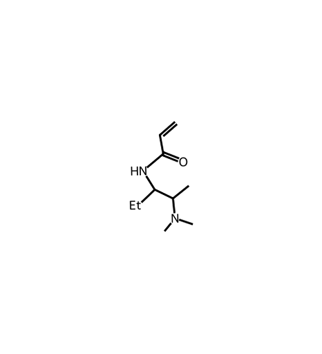 C=CC(=O)NC(CC)C(C)N(C)C